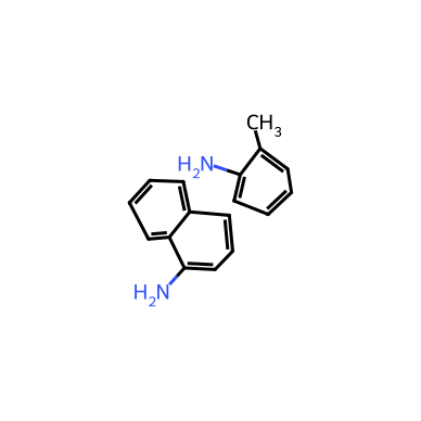 Cc1ccccc1N.Nc1cccc2ccccc12